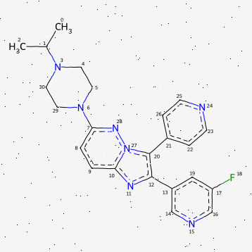 CC(C)N1CCN(c2ccc3nc(-c4cncc(F)c4)c(-c4ccncc4)n3n2)CC1